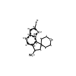 N#CC1CC2(CCOCC2)c2c1cnc1cc(F)nn21